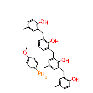 COc1ccc(P)cc1.Cc1ccc(O)c(Cc2cccc(Cc3cc(C)cc(Cc4cc(C)ccc4O)c3O)c2O)c1